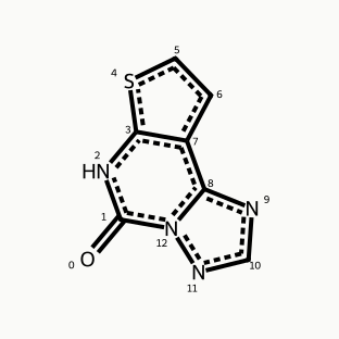 O=c1[nH]c2sccc2c2ncnn12